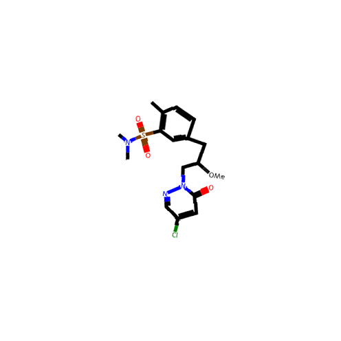 COC(Cc1ccc(C)c(S(=O)(=O)N(C)C)c1)Cn1ncc(Cl)cc1=O